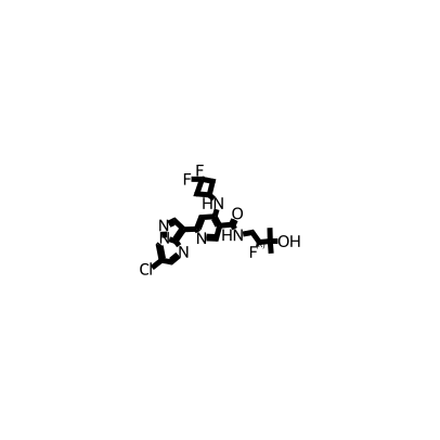 CC(C)(O)[C@H](F)CNC(=O)c1cnc(-c2cnn3cc(Cl)cnc23)cc1NC1CC(F)(F)C1